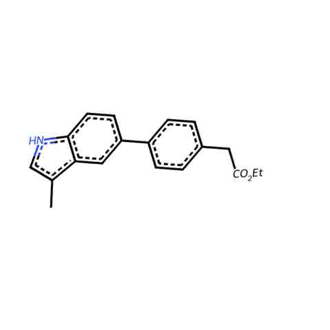 CCOC(=O)Cc1ccc(-c2ccc3[nH]cc(C)c3c2)cc1